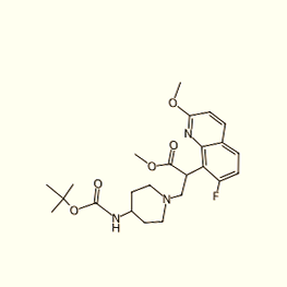 COC(=O)C(CN1CCC(NC(=O)OC(C)(C)C)CC1)c1c(F)ccc2ccc(OC)nc12